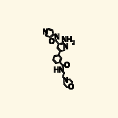 Nc1ncc(-c2cccc(C(=O)NCCN3CCOCC3)c2)cc1-c1nc2ccncc2o1